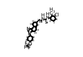 Cc1c(Cl)cccc1NC(=S)NN=Cc1ccc2c(ccc3c2ncn3-c2ccc(OC(F)(F)F)cc2)c1